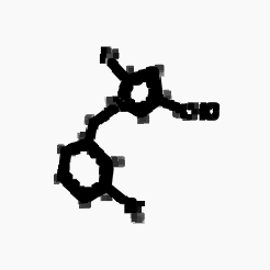 O=Cc1cc(F)n(Cc2cccc(Br)c2)c1